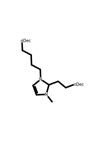 CCCCCCCCCCCCCCN1C=CN(C)C1CCCCCCCCCCCC